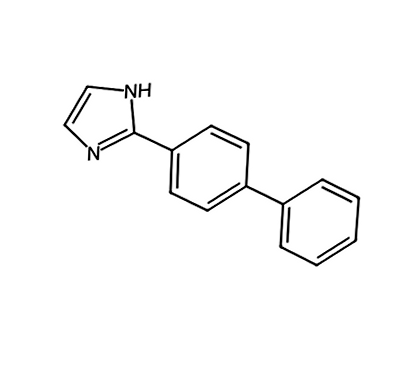 c1ccc(-c2ccc(-c3ncc[nH]3)cc2)cc1